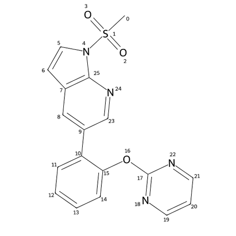 CS(=O)(=O)n1ccc2cc(-c3ccccc3Oc3ncccn3)cnc21